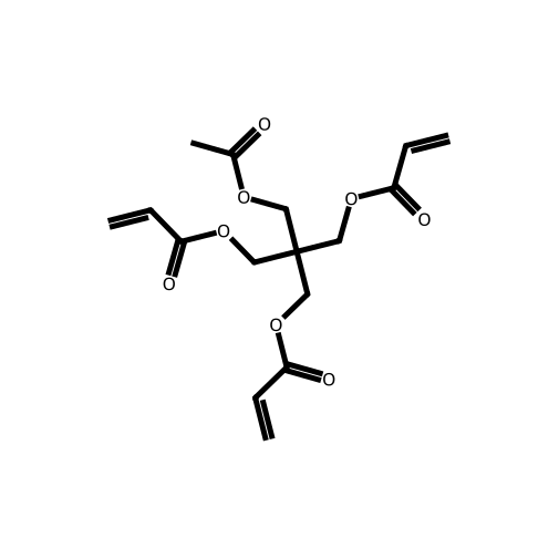 C=CC(=O)OCC(COC(C)=O)(COC(=O)C=C)COC(=O)C=C